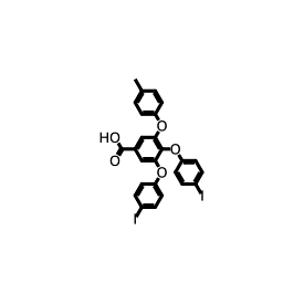 Cc1ccc(Oc2cc(C(=O)O)cc(Oc3ccc(I)cc3)c2Oc2ccc(I)cc2)cc1